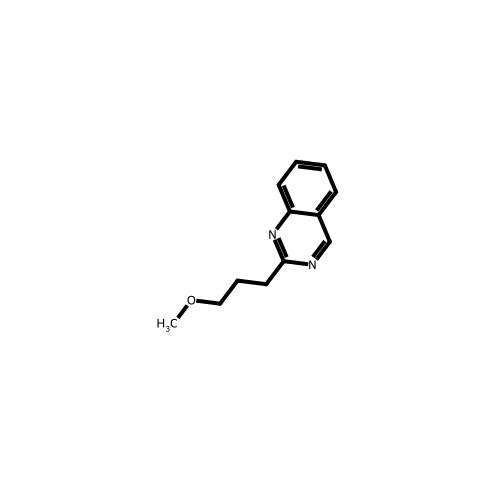 COCCCc1ncc2ccccc2n1